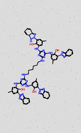 Cc1cc(Nc2nc(NCCCCCCNc3nc(Nc4cc(C)cc(-n5nc6ccccc6n5)c4O)nc(Nc4cc(C)cc(-n5nc6ccccc6n5)c4O)n3)nc(Nc3cc(C)cc(-n4nc5ccccc5n4)c3O)n2)c(O)c(N2N=C3C=CC=CC3N2)c1